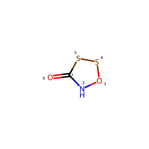 O=C1NOSS1